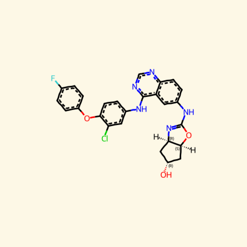 O[C@H]1C[C@@H]2OC(Nc3ccc4ncnc(Nc5ccc(Oc6ccc(F)cc6)c(Cl)c5)c4c3)=N[C@@H]2C1